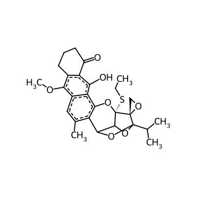 CCS[C@@]12Oc3c(c(C)cc4c(OC)c5c(c(O)c34)C(=O)CCC5)C3OC(C(C)C)(OC31)[C@]21CO1